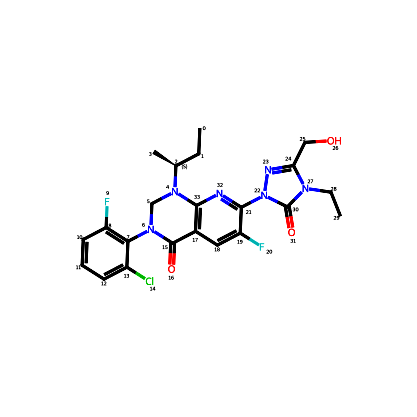 CC[C@H](C)N1CN(c2c(F)cccc2Cl)C(=O)c2cc(F)c(-n3nc(CO)n(CC)c3=O)nc21